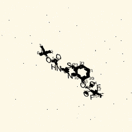 CC(C)(C)OC(=O)Nc1nc2c(OS(=O)(=O)C(F)(F)F)cccc2s1